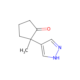 CC1(c2cn[nH]c2)CCCC1=O